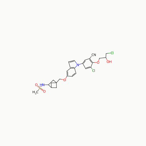 CS(=O)(=O)NC1CC2(COc3ccc4c(ccn4-c4cc(Cl)c(OCC(O)CCl)c(C#N)c4)c3)CC1C2